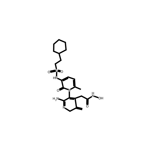 C=C1CN=C(N)C(n2c(C)ccc(NS(=O)(=O)CCC3CCCCC3)c2=O)=C1CC(=O)NO